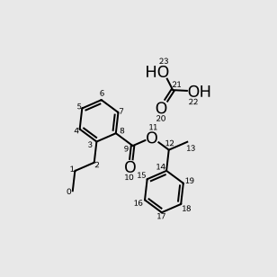 CCCc1ccccc1C(=O)OC(C)c1ccccc1.O=C(O)O